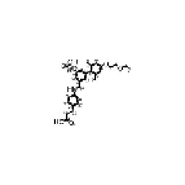 CCOCCOc1cc(C)c(-c2cccc(CNc3ccc(CCC(=O)O)cn3)c2)c(C)c1.CS(=O)(=O)O